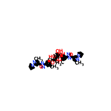 Cc1cc(-c2nc(-c3cc(C)c(OCC(O)C(O)C(Oc4c(C)cc(-c5noc(-c6cc(C)nc(N7CCCC7)c6)n5)cc4C)C(O)CO)c(C)c3)no2)cc(N2CCCC2)n1